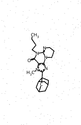 CCCCN1C(=O)c2c(nc(C34CC5CC(CC3C5)C4)n2C)N2CCCN=C12